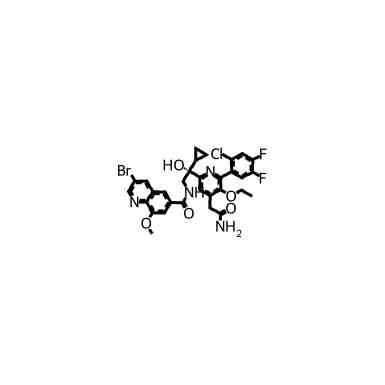 CCOc1c(CC(N)=O)cc([C@@](O)(CNC(=O)c2cc(OC)c3ncc(Br)cc3c2)C2CC2)nc1-c1cc(F)c(F)cc1Cl